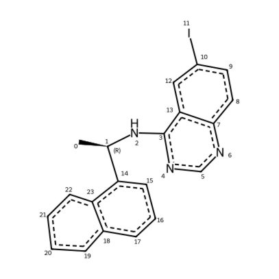 C[C@@H](Nc1ncnc2ccc(I)cc12)c1cccc2ccccc12